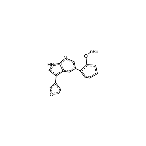 CCCCOc1ccccc1-c1cnc2[nH]cc(-c3ccoc3)c2c1